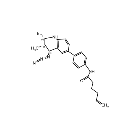 C=CCCCC(=O)Nc1ccc(-c2ccc3c(c2)[C@@H](N=[N+]=[N-])[C@H](C)[C@H](CC)N3)cc1